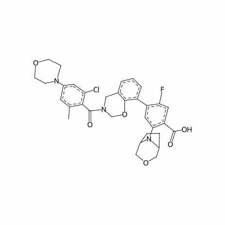 Cc1cc(N2CCOCC2)cc(Cl)c1C(=O)N1COc2c(cccc2-c2cc(N3C4CCC3COC4)c(C(=O)O)cc2F)C1